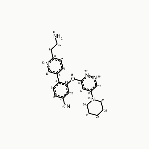 N#Cc1ccc(-c2ccc(CCN)nc2)c(Oc2cc(N3CCCCC3)cnn2)c1